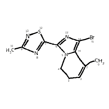 CC1=CCCn2c(-c3nc(C)ns3)nc(Br)c21